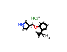 CC1(c2ccccc2OCC2CCNC2)CC1.Cl